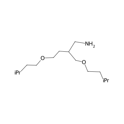 CC(C)CCOCCC(CN)COCCC(C)C